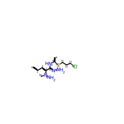 C=C/C=C(/C(=N/N)NC(=C)SCCCCl)N(C)N